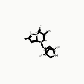 Cc1cc2n(C[C@H]3C[C@H]4C[C@@H]3CN4)cc(C(C)C)c(=O)n2n1